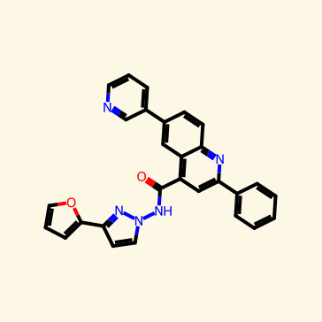 O=C(Nn1ccc(-c2ccco2)n1)c1cc(-c2ccccc2)nc2ccc(-c3cccnc3)cc12